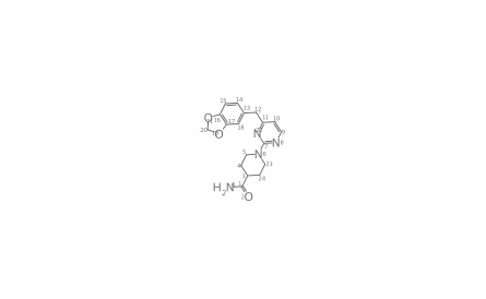 NC(=O)C1CCN(c2nccc([CH]c3ccc4c(c3)OCO4)n2)CC1